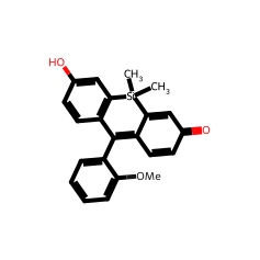 COc1ccccc1C1=C2C=CC(=O)C=C2[Si](C)(C)c2cc(O)ccc21